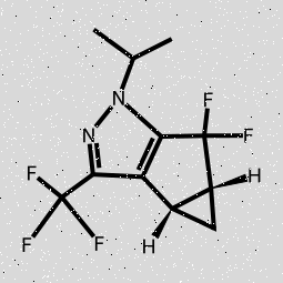 CC(C)n1nc(C(F)(F)F)c2c1C(F)(F)[C@@H]1C[C@H]21